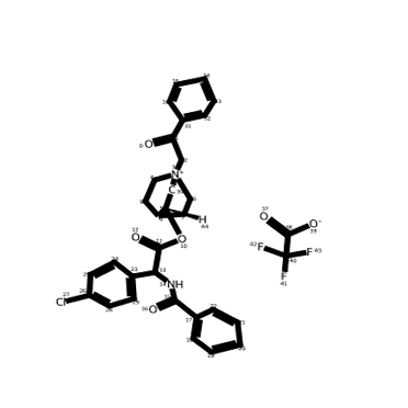 O=C(C[N+]12CCC(CC1)[C@@H](OC(=O)C(NC(=O)c1ccccc1)c1ccc(Cl)cc1)C2)c1ccccc1.O=C([O-])C(F)(F)F